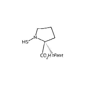 CCCCC[C@@]1(C(=O)O)CCCN1S